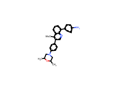 COc1c(-c2ccc(N3CC(C)OC(C)C3)cc2)cnc2c(-c3ccc(N)cc3)cccc12